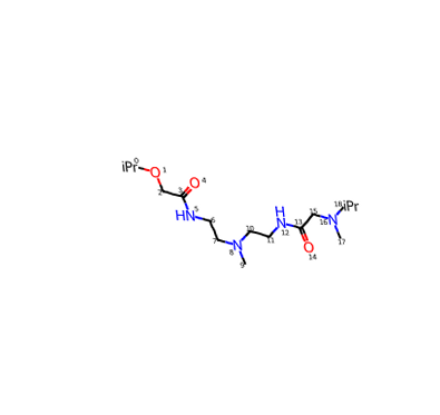 CC(C)OCC(=O)NCCN(C)CCNC(=O)CN(C)C(C)C